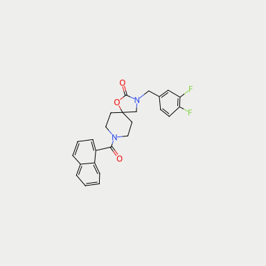 O=C1OC2(CCN(C(=O)c3cccc4ccccc34)CC2)CN1Cc1ccc(F)c(F)c1